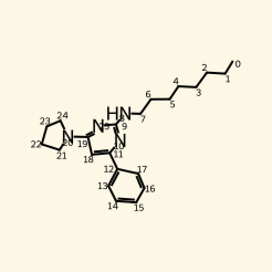 CCCCCCCCNc1nc(-c2ccccc2)cc(N2CCCC2)n1